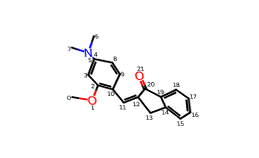 COc1cc(N(C)C)ccc1C=C1Cc2ccccc2C1=O